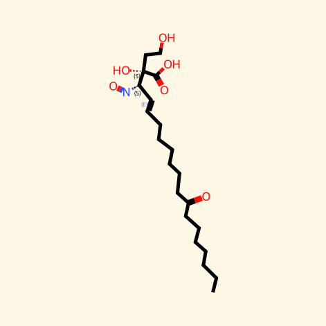 CCCCCCCC(=O)CCCCCC/C=C/[C@H](N=O)[C@@](O)(CCO)C(=O)O